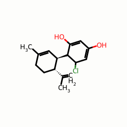 C=C(C)[C@@H]1CCC(C)=C[C@H]1C1C(O)=CC(O)=CC1Cl